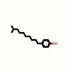 CC(C)CCCCCCCCc1ccc(O)cc1